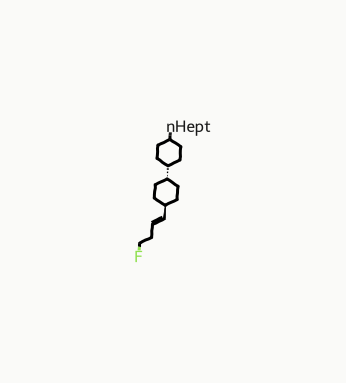 CCCCCCCC1CCC([C@H]2CC[C@H](/C=C/CCF)CC2)CC1